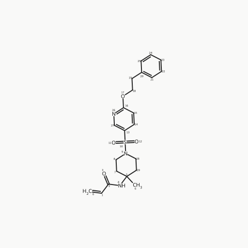 C=CC(=O)NC1(C)CCN(S(=O)(=O)c2ccc(OCCc3ccccc3)nc2)CC1